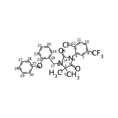 CC1(C)C(=O)N(c2cc(C(F)(F)F)ccc2Cl)C(=O)N1Cc1ccccc1Oc1ccccc1